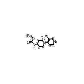 CC(C)(C)OC(=O)NC1CCN(c2ccncc2N)CC1